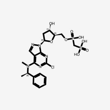 C[C@H](c1ccccc1)N(C)c1nc(Cl)nc2c1cnn2[C@H]1C[C@H](O)[C@@H](COP(=O)(O)CP(=O)(O)O)O1